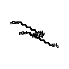 CC(=O)O.CC(=O)O.CCCCCCCCC=CCCCCCCCCN.CCCCCCCCCCCCCCCCCCN